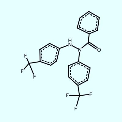 O=C(c1ccccc1)N(Nc1ccc(C(F)(F)F)cc1)c1ccc(C(F)(F)F)cc1